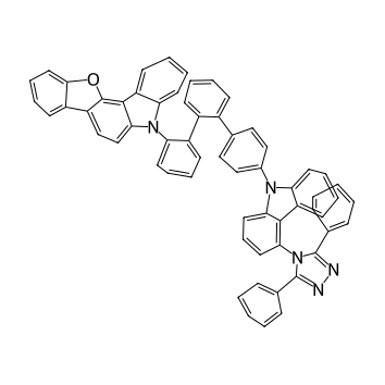 c1ccc(-c2nnc(-c3ccccc3)n2-c2cccc3c2c2ccccc2n3-c2ccc(-c3ccccc3-c3ccccc3-n3c4ccccc4c4c5oc6ccccc6c5ccc43)cc2)cc1